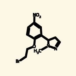 CN1N=CCC1c1cc([N+](=O)[O-])ccc1OCCBr